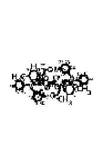 COC(C)C[C@@]12CC[C@@H](C)[C@](Cc3ccccc3)([C@@H](Cc3ccccc3)CN1OC(=O)C(=O)ON1C[C@H](Cc3ccccc3)[C@@]3(Cc4ccccc4)[C@H](C)CC[C@@]1(CC(C)OC)C3(C)C)C2(C)C